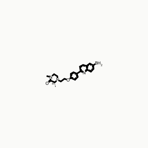 Bc1ccc2nc(-c3ccc(OCCN4CCN(C)C(=O)[C@H]4C)cc3)ccc2c1